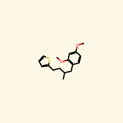 COc1ccc(CC(C)CCc2cccs2)c(OC)c1